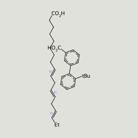 CC(C)(C)c1ccccc1-c1cccc(C(=O)O)c1.CC/C=C/C/C=C/C/C=C/CCCCCCCC(=O)O